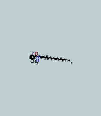 CCCCCCCCCCCCCCCCNC(=O)c1cc(C)ccc1I